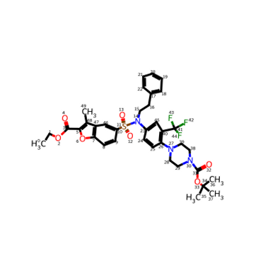 CCOC(=O)c1oc2ccc(S(=O)(=O)N(CCc3ccccc3)c3ccc(N4CCN(C(=O)OC(C)(C)C)CC4)c(C(F)(F)F)c3)cc2c1C